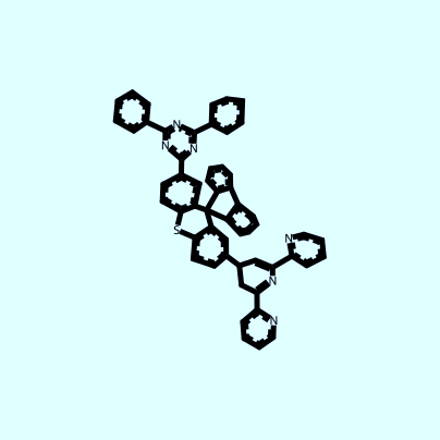 C1=C(c2ccccn2)N=C(c2ccccn2)CC1c1ccc2c(c1)C1(c3cc(-c4nc(-c5ccccc5)nc(-c5ccccc5)n4)ccc3S2)c2ccccc2-c2ccccc21